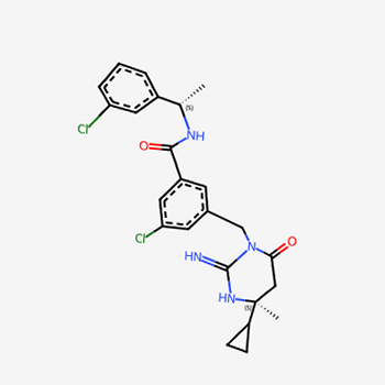 C[C@H](NC(=O)c1cc(Cl)cc(CN2C(=N)N[C@](C)(C3CC3)CC2=O)c1)c1cccc(Cl)c1